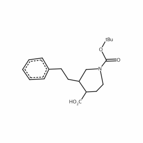 CC(C)(C)OC(=O)N1CCC(C(=O)O)C(CCc2ccccc2)C1